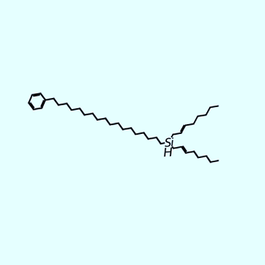 CCCCCC=CC[SiH](CC=CCCCCC)CCCCCCCCCCCCCCCCCCc1ccccc1